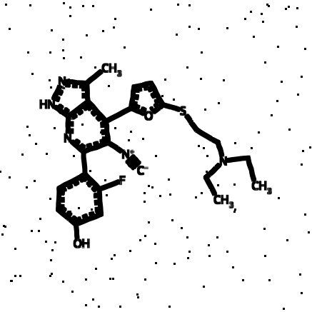 [C-]#[N+]c1c(-c2ccc(O)cc2F)nc2[nH]nc(C)c2c1-c1ccc(SCCN(CC)CC)o1